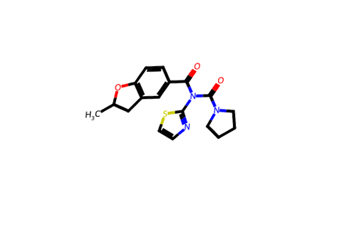 CC1Cc2cc(C(=O)N(C(=O)N3CCCC3)c3nccs3)ccc2O1